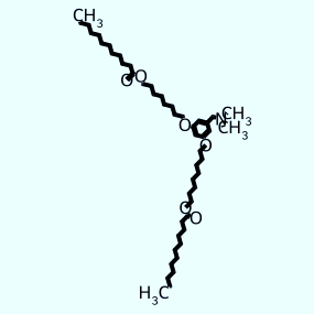 CCCCCCCCCCCC(=O)OCCCCCCCCOc1cc(CN(C)C)cc(OCCCCCCCCOC(=O)CCCCCCCCCCC)c1